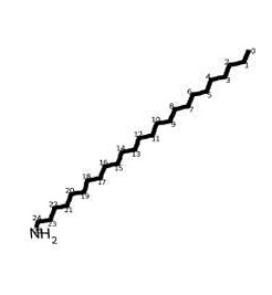 [CH2]CCCCCCCCCCCCCCCCCCCCCCCCN